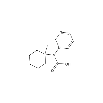 CC1(N(C(=O)O)N2C=CC=NC2)CCCCC1